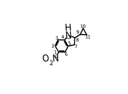 O=[N+]([O-])c1ccc2c(c1)CC(C1CC1)N2